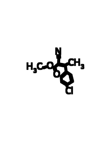 CCOC(=O)C(C#N)=C(C)c1ccc(Cl)cc1